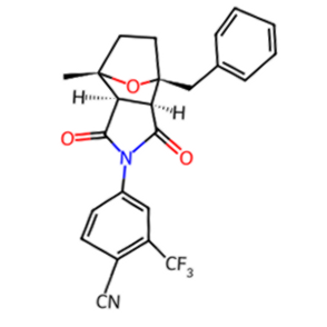 C[C@@]12CC[C@@](Cc3ccccc3)(O1)[C@H]1C(=O)N(c3ccc(C#N)c(C(F)(F)F)c3)C(=O)[C@H]12